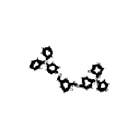 c1ccc(N(c2ccccc2)c2ccc(OCc3cccc(COc4ccc(N(c5ccccc5)c5ccccc5)cc4)c3)cc2)cc1